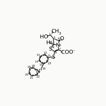 C[C@@H](O)[C@H]1C(=O)N2C(C(=O)[O-])=C(Sc3cccc(C[n+]4ccccc4)c3)S[C@H]12